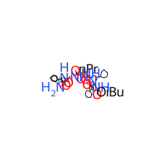 CCCC(NC(=O)C1CC(C2CCCCC2)CN1C(=O)[C@@H](NC(=O)OCC(C)C)C1CCCCC1)C(=O)C(=O)NCC(=O)N[C@H](C(N)=O)c1ccccc1